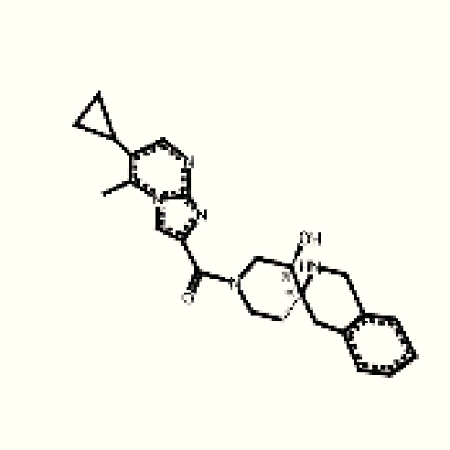 Cc1c(C2CC2)cnc2nc(C(=O)N3CC[C@]4(Cc5ccccc5CN4)[C@H](O)C3)cn12